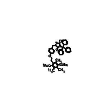 COc1c(C)c(C)c(OC)c(CCOc2ccc(CC3SC(=O)N(C(c4ccccc4)(c4ccccc4)c4ccccc4)C3=O)cc2)c1C